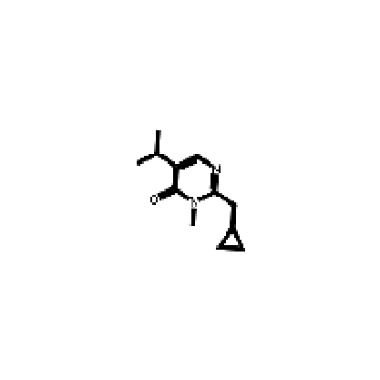 CC(C)c1cnc(CC2CC2)n(C)c1=O